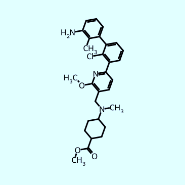 COC(=O)C1CCC(N(C)Cc2ccc(-c3cccc(-c4cccc(N)c4C)c3Cl)nc2OC)CC1